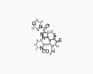 O=C(O)N1CCCC(n2nc(C(=O)N3CCOCC3)c3c2-c2cccc(F)c2SC3)C1